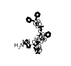 CC(C)C(=O)O[C@H]1[C@H](c2ccc3c(N)ncnn23)O[C@]2(C)C(OP(=O)(N[C@@H](C)C(=O)OCC(C)(C)OP(=O)(OCc3ccccc3)OCc3ccccc3)Oc3ccccc3)[C@]12OC(=O)C(C)C